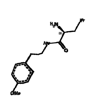 COc1ccc(CCNC(=O)[C@@H](N)CC(C)C)cc1